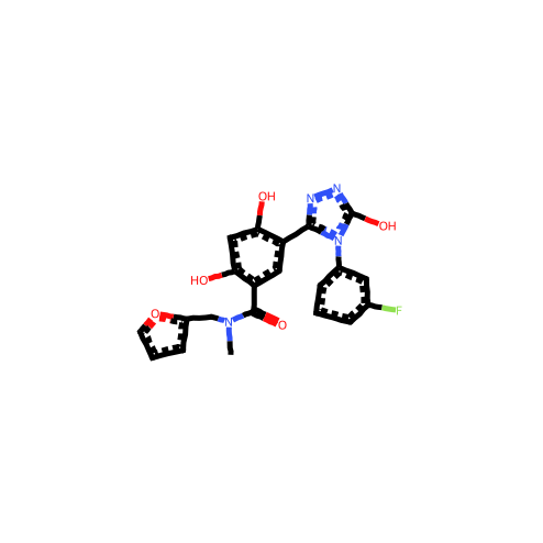 CN(Cc1ccco1)C(=O)c1cc(-c2nnc(O)n2-c2cccc(F)c2)c(O)cc1O